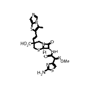 CON=C(C(=O)N[C@@H]1C(=O)N2CC(C=Cc3sc4cncn4c3C)(C(=O)O)CS[C@H]12)c1csc(N)n1